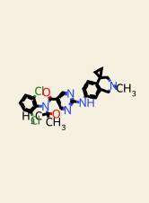 CN1Cc2cc(Nc3ncc4c(n3)OC(C)(C)N(c3c(Cl)cccc3Cl)C4=O)ccc2C2(CC2)C1